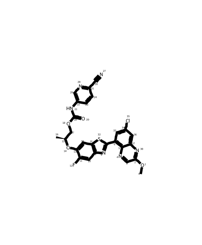 COc1cnc2c(-c3nc4cc(F)c(O[C@@H](C)COC(=O)Nc5ccc(C#N)nc5)cc4s3)cc(Cl)cc2n1